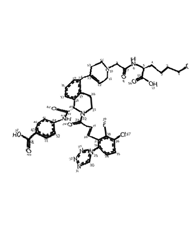 CCCCC[C@H](NC(=O)CN1CC=C(c2cccc3c2CCN(C(=O)/C=C/c2c(-n4cnnn4)ccc(Cl)c2F)[C@@H]3C(=O)Nc2ccc(C(=O)O)cc2)CC1)C(=O)O